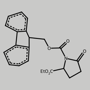 CCOC(=O)C1CCC(=O)N1C(=O)OCC1c2ccccc2-c2ccccc21